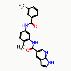 Cc1ccc(NC(=O)c2cccc(C(F)(F)F)c2)cc1NC(=O)c1cnc2[nH]ccc2c1